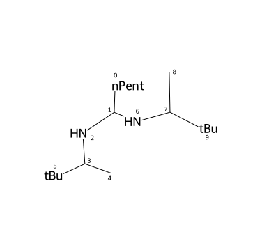 CCCCCC(NC(C)C(C)(C)C)NC(C)C(C)(C)C